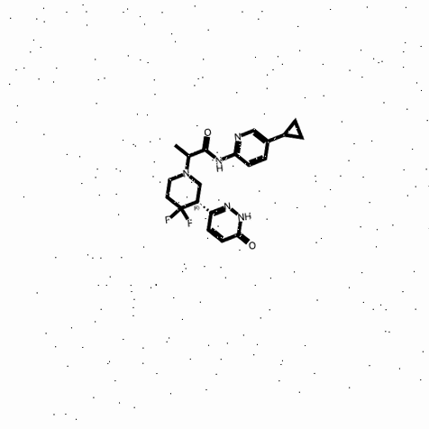 CC(C(=O)Nc1ccc(C2CC2)cn1)N1CCC(F)(F)[C@@H](c2ccc(=O)[nH]n2)C1